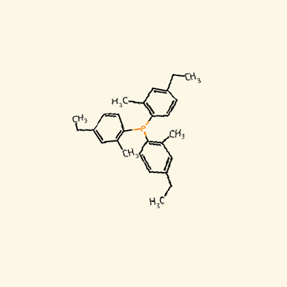 CCc1ccc(P(c2ccc(CC)cc2C)c2ccc(CC)cc2C)c(C)c1